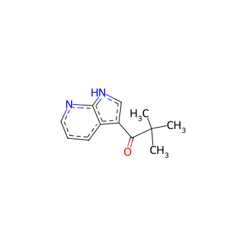 CC(C)(C)C(=O)c1c[nH]c2ncccc12